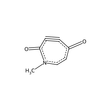 Cn1ccc(=O)c#cc1=O